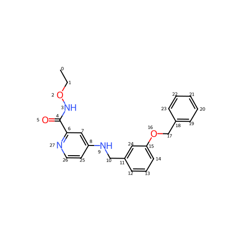 CCONC(=O)c1cc(NCc2cccc(OCc3ccccc3)c2)ccn1